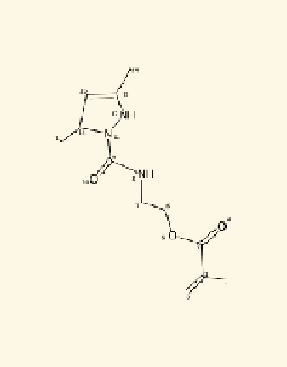 C=C(C)C(=O)OCCNC(=O)N1NC(C)=CC1C